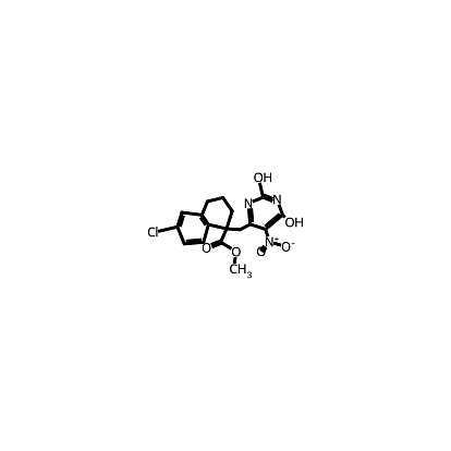 COC(=O)C1(Cc2nc(O)nc(O)c2[N+](=O)[O-])CCCc2cc(Cl)ccc21